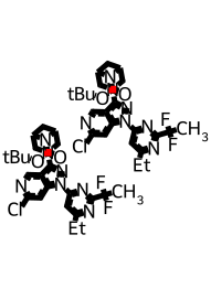 CCc1cc(-n2nc(N3CC4CC(C3)N4C(=O)OC(C)(C)C)c3cnc(Cl)cc32)nc(C(C)(F)F)n1.CCc1cc(-n2nc(N3CC4CC(C3)N4C(=O)OC(C)(C)C)c3cnc(Cl)cc32)nc(C(C)(F)F)n1